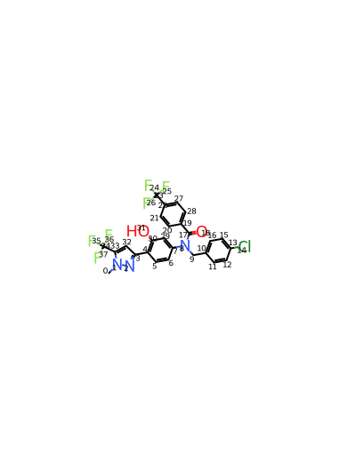 Cn1nc(-c2ccc(N(Cc3ccc(Cl)cc3)C(=O)c3ccc(C(F)(F)F)cc3)cc2O)cc1C(F)(F)F